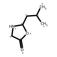 CC(C)CC1NCC(=O)O1